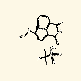 CCCOc1ccc2c3c(cccc13)C(=O)NC2=O.O=S(=O)(O)C(F)(F)F